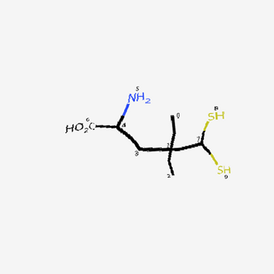 CC(C)(CC(N)C(=O)O)C(S)S